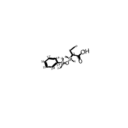 CCC(C(=O)O)[Si](C)(C)O[Si](C)(C)c1ccccc1